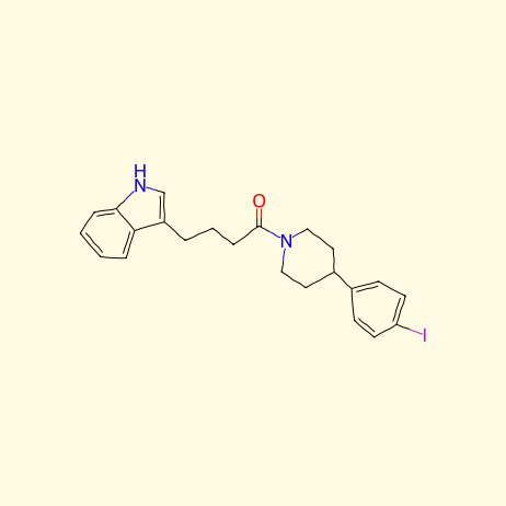 O=C(CCCc1c[nH]c2ccccc12)N1CCC(c2ccc(I)cc2)CC1